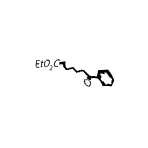 CCOC(=O)CCCCCC(=O)c1ccccc1